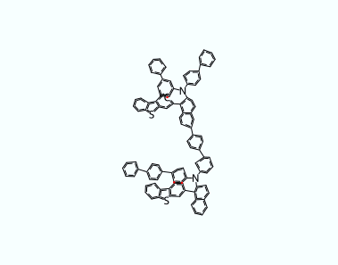 c1ccc(-c2ccc(-c3ccc(N(c4cccc(-c5ccc(-c6ccc7c(-c8ccc9c(c8)sc8ccccc89)c(N(c8ccc(-c9ccccc9)cc8)c8cccc(-c9ccccc9)c8)ccc7c6)cc5)c4)c4ccc5ccccc5c4-c4ccc5c(c4)sc4ccccc45)cc3)cc2)cc1